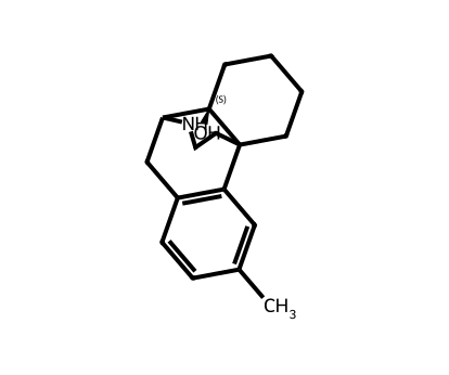 Cc1ccc2c(c1)C13CCCC[C@@]1(O)C(C2)NCC3